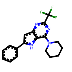 FC(F)(F)c1nc(N2CCCCC2)c2[nH]c(-c3ccccc3)cc2n1